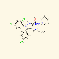 CC(NC(=O)O)c1c(C(=O)NN2CCCCC2)nn(-c2ccc(Cl)cc2Cl)c1-c1ccc(Cl)cc1